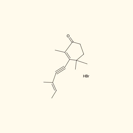 Br.CC=C(C)C#CC1=C(C)C(=O)CCC1(C)C